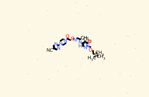 CC(/C=N/OCC(=O)N1CCN(c2ncc(C#N)cn2)CC1)Nc1cnn(COCC[Si](C)(C)C)c(=O)c1C(F)(F)F